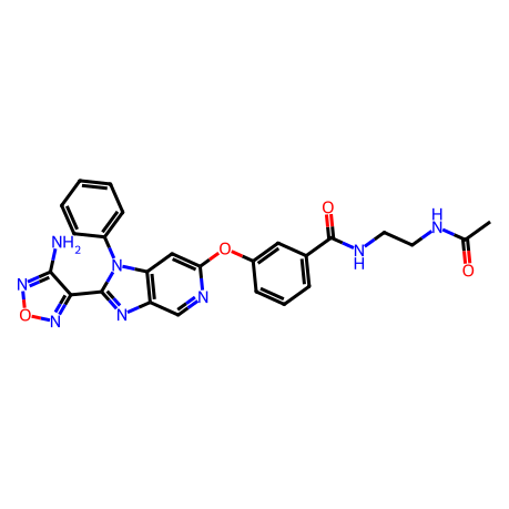 CC(=O)NCCNC(=O)c1cccc(Oc2cc3c(cn2)nc(-c2nonc2N)n3-c2ccccc2)c1